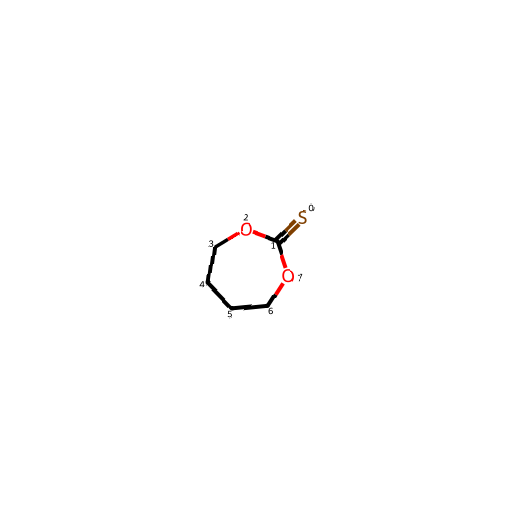 S=C1OCCCCO1